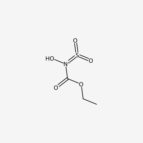 CCOC(=O)[N+](O)=S(=O)=O